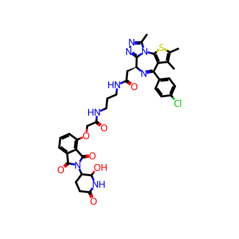 Cc1sc2c(c1C)C(c1ccc(Cl)cc1)=N[C@@H](CC(=O)NCCCNC(=O)COc1cccc3c1C(=O)N(C1CCC(=O)NC1O)C3=O)c1nnc(C)n1-2